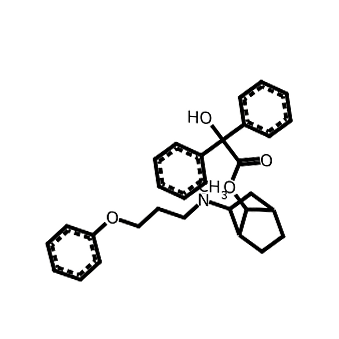 CN(CCCOc1ccccc1)C1CC2CCC1C2OC(=O)C(O)(c1ccccc1)c1ccccc1